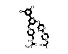 CNC(=O)NCC1CCN(Cc2cc(Oc3cnc(N4CCN(C[C@@H](C)O)CC4)nc3)nc(-c3cc(Cl)cc(Cl)c3)c2)CC1